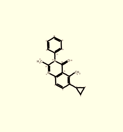 Cc1c(C2CC2)ccc2nc(C)n(-c3ccccc3)c(=O)c12